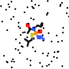 C=CCN(C(C)=O)P(N)(=O)SCC(C)C